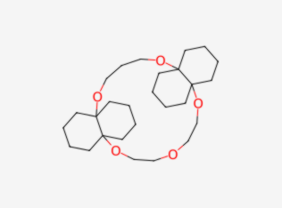 C1COC23CCCCC2(CCCC3)OCCOCCOC23CCCCC2(CCCC3)OC1